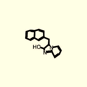 OC1N=C2C=CC=CN2C1Cc1ccc2ccccc2c1